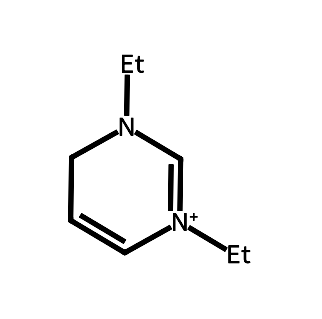 CCN1C=[N+](CC)C=CC1